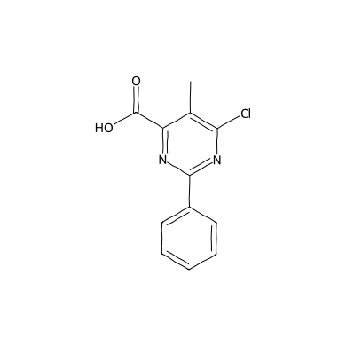 Cc1c(Cl)nc(-c2ccccc2)nc1C(=O)O